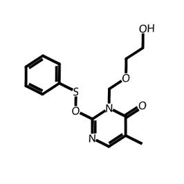 Cc1cnc(OSc2ccccc2)n(COCCO)c1=O